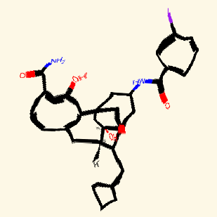 NC(=O)c1ccc2c(c1O)C13CCC(CC4CCC4)[C@H](C2)[C@]1(O)CCC(NC(=O)c1cccc(I)c1)C3